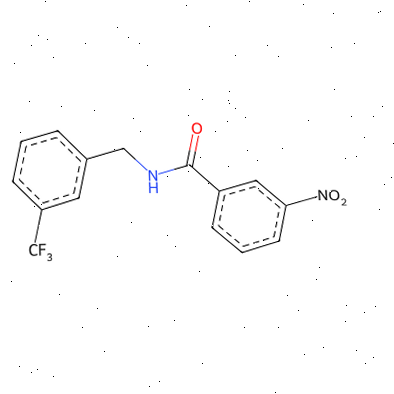 O=C(NCc1cccc(C(F)(F)F)c1)c1cccc([N+](=O)[O-])c1